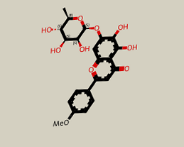 COc1ccc(-c2cc(=O)c3c(O)c(O)c(O[C@@H]4O[C@H](C)[C@@H](O)[C@H](O)[C@@H]4O)cc3o2)cc1